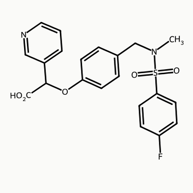 CN(Cc1ccc(OC(C(=O)O)c2cccnc2)cc1)S(=O)(=O)c1ccc(F)cc1